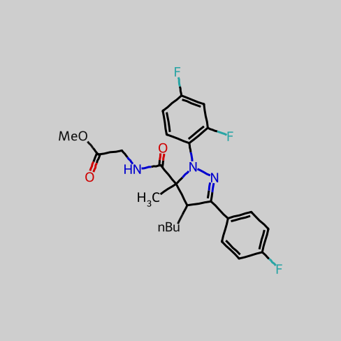 CCCCC1C(c2ccc(F)cc2)=NN(c2ccc(F)cc2F)C1(C)C(=O)NCC(=O)OC